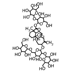 C=C1CC2CCC3[C@](C)(C(=O)OC4OC(CO)C(O)C(O)C4OC4OC(CO)C(O)C(O)C4O)CCC[C@@]3(C)[C@@H]2CCC1OC1OC(COC2OC(CO)C(O)C(O)C2O)C(O)C(O)C1OC1OC(CO)C(O)C(O)C1O